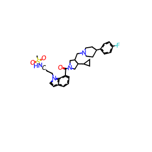 CS(=O)(=O)NCCCn1ccc2cccc(C(=O)N3CC(CN4CCC(c5ccc(F)cc5)CC4)C(C4CC4)C3)c21